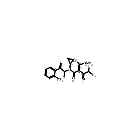 C=C(c1ccccc1C(F)(F)F)C(C)N(C(=O)/C(C(=N)C(F)F)=C(\F)NC)C1CC1